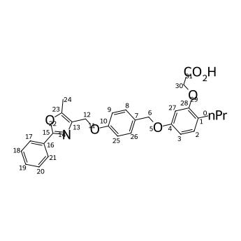 CCCc1ccc(OCc2ccc(OCc3nc(-c4ccccc4)oc3C)cc2)cc1OCC(=O)O